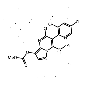 COC(=O)Oc1cnn2c(NC(C)C)c(-c3ncc(Cl)cc3Cl)c(Cl)nc12